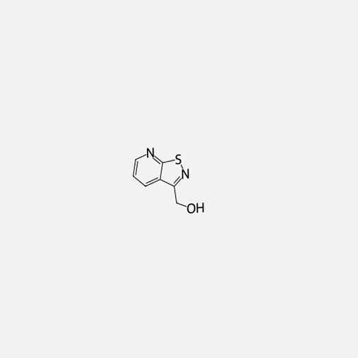 OCc1nsc2ncccc12